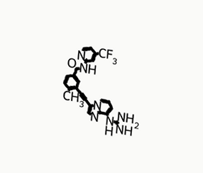 Cc1ccc(C(=O)Nc2cc(C(F)(F)F)ccn2)cc1C#Cc1cnc2c(NC(=N)N)cccn12